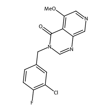 COc1cncc2ncn(Cc3ccc(F)c(Cl)c3)c(=O)c12